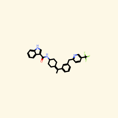 CC(=C1CCC(NC(=O)c2c[nH]c3ccccc23)CC1)c1cccc(Cc2ccc(C(F)(F)F)cn2)c1